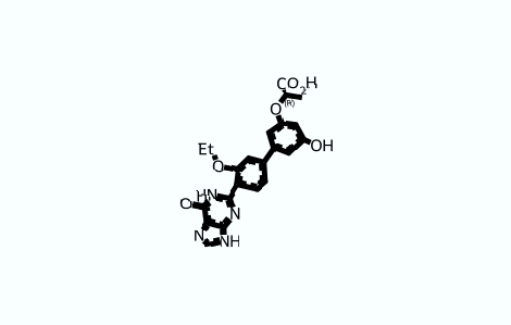 CCOc1cc(-c2cc(O)cc(O[C@H](C)C(=O)O)c2)ccc1-c1nc2[nH]cnc2c(=O)[nH]1